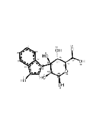 Oc1cn([C@@]2(O)[C@H](O)[C@H](O)O[C@H](C(O)Cl)[C@H]2O)c2ccccc12